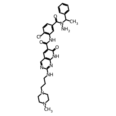 CC(c1ccccc1)N(N)C(=O)c1ccc(Cl)c(NC(=O)c2cc3cnc(NCCCN4CCN(C)CC4)nc3[nH]c2=O)c1